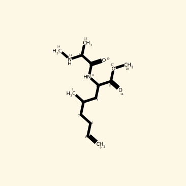 C=CCCC(C)CC(NC(=O)C(C)NC)C(=O)OC